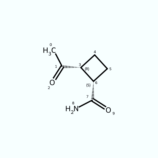 CC(=O)[C@@H]1CC[C@@H]1C(N)=O